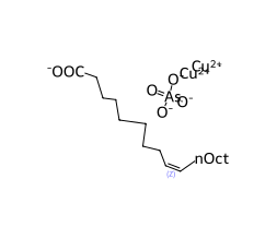 CCCCCCCC/C=C\CCCCCCCC(=O)[O-].O=[As]([O-])([O-])[O-].[Cu+2].[Cu+2]